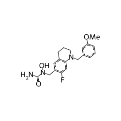 COc1cccc(CN2CCCc3cc(CN(O)C(N)=O)c(F)cc32)c1